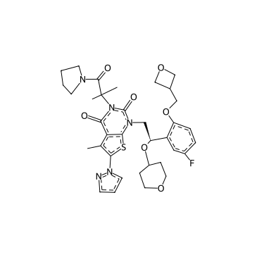 Cc1c(-n2cccn2)sc2c1c(=O)n(C(C)(C)C(=O)N1CCCC1)c(=O)n2C[C@H](OC1CCOCC1)c1cc(F)ccc1OCC1COC1